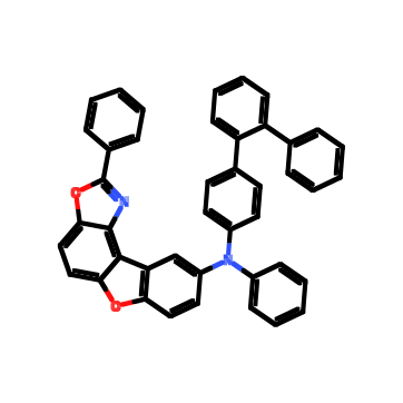 c1ccc(-c2nc3c(ccc4oc5ccc(N(c6ccccc6)c6ccc(-c7ccccc7-c7ccccc7)cc6)cc5c43)o2)cc1